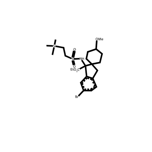 CCOC(=O)C1(NS(=O)(=O)CC[Si](C)(C)C)c2cc(Br)ccc2CC12CCC(OC)CC2